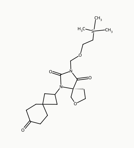 C[Si](C)(C)CCOCN1C(=O)N(C2CC3(CCC(=O)CC3)C2)[C@@]2(CCOC2)C1=O